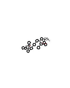 CC1(C)c2ccccc2-c2c(N(c3cccc(-c4ccc(-c5ccc6c(c5)C5(c7ccccc7-6)c6ccc7ccccc7c6Oc6c5ccc5ccccc65)cc4)c3)c3cc(-c4ccccc4)cc(-c4ccccc4)c3)cccc21